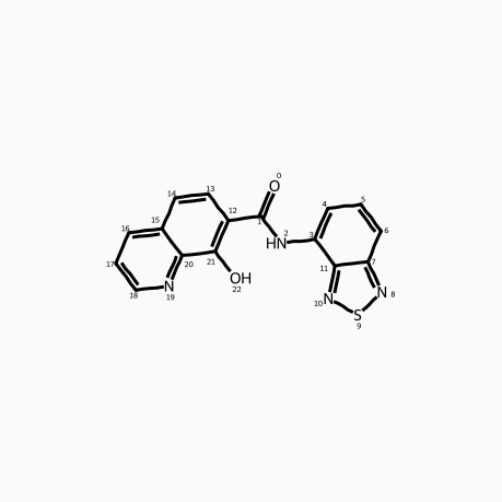 O=C(Nc1cccc2nsnc12)c1ccc2cccnc2c1O